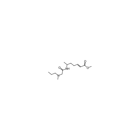 CCCN(C)CC(=O)NC(C)CC/C=C/C(=O)OC